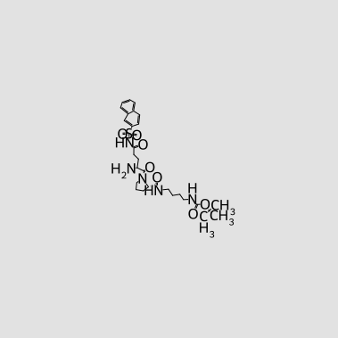 CC(C)(C)OC(=O)NCCCCNC(=O)[C@@H]1CCCN1C(=O)[C@H](N)CCC(=O)NS(=O)(=O)c1ccc2ccccc2c1